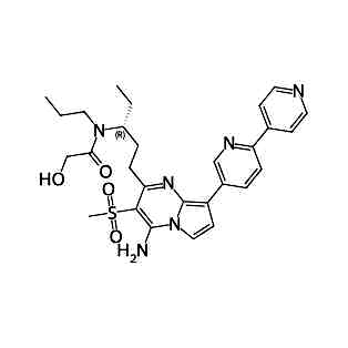 CCCN(C(=O)CO)[C@H](CC)CCc1nc2c(-c3ccc(-c4ccncc4)nc3)ccn2c(N)c1S(C)(=O)=O